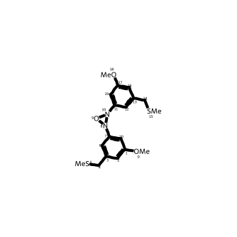 COc1cc(CSC)cc(-n2on2-c2cc(CSC)cc(OC)c2)c1